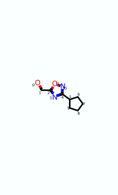 O=Cc1nc(C2CCCC2)no1